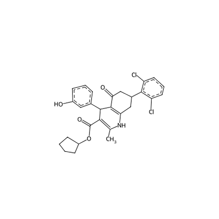 CC1=C(C(=O)OC2CCCC2)C(c2cccc(O)c2)C2=C(CC(c3c(Cl)cccc3Cl)CC2=O)N1